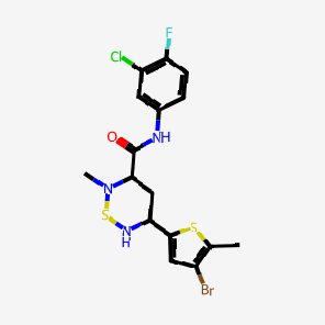 Cc1sc(C2CC(C(=O)Nc3ccc(F)c(Cl)c3)N(C)SN2)cc1Br